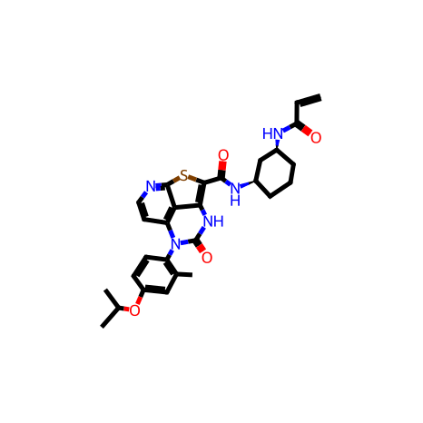 C=CC(=O)N[C@H]1CCC[C@@H](NC(=O)c2sc3nccc4c3c2NC(=O)N4c2ccc(OC(C)C)cc2C)C1